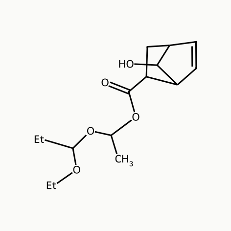 CCOC(CC)OC(C)OC(=O)C1CC2C=CC1C2O